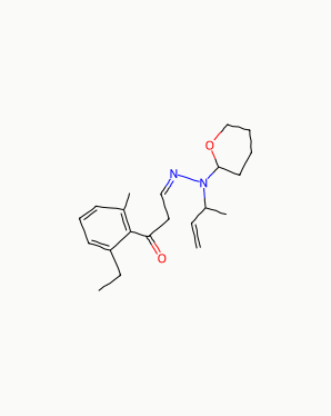 C=CC(C)N(/N=C\CC(=O)c1c(C)cccc1CC)C1CCCCO1